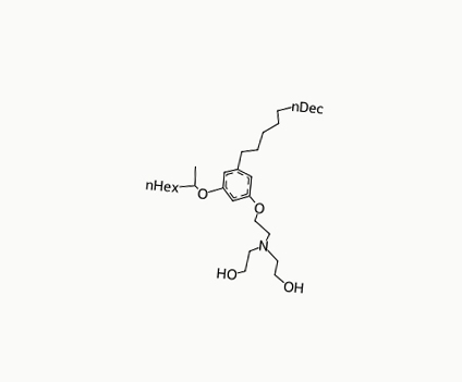 CCCCCCCCCCCCCCCc1cc(OCCN(CCO)CCO)cc(OC(C)CCCCCC)c1